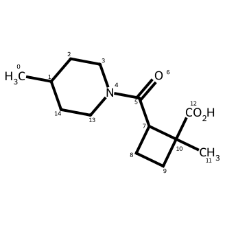 CC1CCN(C(=O)C2CCC2(C)C(=O)O)CC1